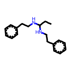 CCC(NCCc1ccccc1)NCCc1ccccc1